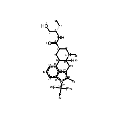 CC[C@@H](CO)NC(=O)[C@@H]1CC2c3cccc4c3c(c(C)n4C(F)(F)F)C[C@H]2N(C)C1